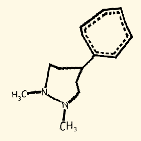 CN1CC(c2ccccc2)CN1C